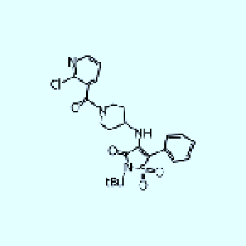 CC(C)(C)N1C(=O)C(NC2CCN(C(=O)c3cccnc3Cl)CC2)=C(c2ccccc2)S1(=O)=O